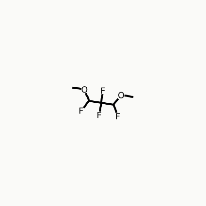 COC(F)C(F)(F)C(F)OC